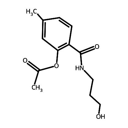 CC(=O)Oc1cc(C)ccc1C(=O)NCCCO